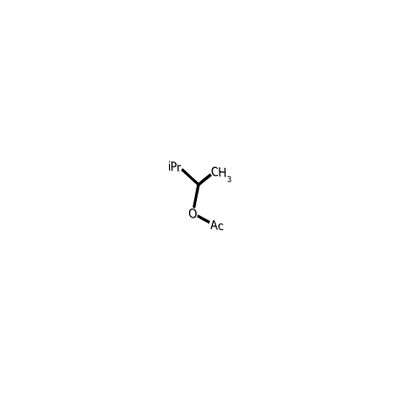 [CH2]C(=O)OC(C)C(C)C